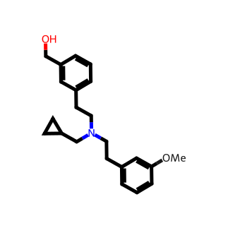 COc1cccc(CCN(CCc2cccc(CO)c2)CC2CC2)c1